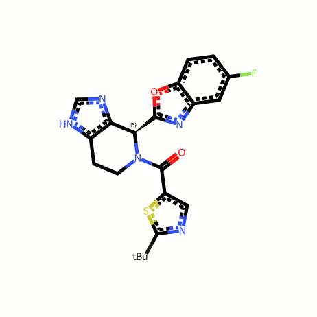 CC(C)(C)c1ncc(C(=O)N2CCc3[nH]cnc3[C@H]2c2nc3cc(F)ccc3o2)s1